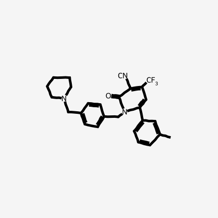 [C-]#[N+]c1c(C(F)(F)F)cc(-c2cccc(C)c2)n(Cc2ccc(CN3CCCCC3)cc2)c1=O